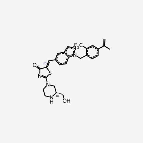 C=C(C)c1ccc(Cn2ncc3cc(/C=C4\SC(N5CCN[C@@H](CO)C5)=NC4=O)ccc32)c(C(F)(F)F)c1